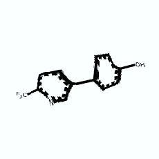 Oc1ccc(-c2ccc(C(F)(F)F)nc2)cc1